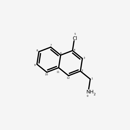 NCc1cc(Cl)c2ccccc2c1